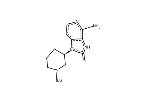 CC(C)(C)N1CCC[C@@H](n2c(=O)[nH]c3c(N)nccc32)C1